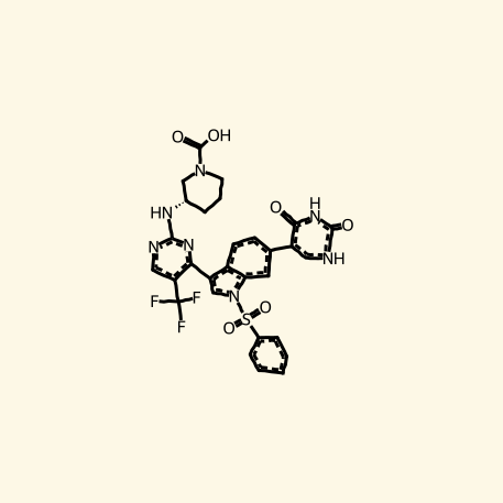 O=C(O)N1CCC[C@H](Nc2ncc(C(F)(F)F)c(-c3cn(S(=O)(=O)c4ccccc4)c4cc(-c5c[nH]c(=O)[nH]c5=O)ccc34)n2)C1